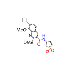 COc1nc2c(OC)c(C3CCC3)ccc2cc1C(=O)NC1C=CS(=O)(=O)C1